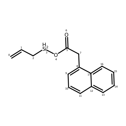 C=CC[SiH2]OC(=O)Cc1cccc2ccccc12